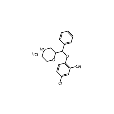 Cl.N#Cc1cc(Cl)ccc1O[C@H](c1ccccc1)C1CNCCO1